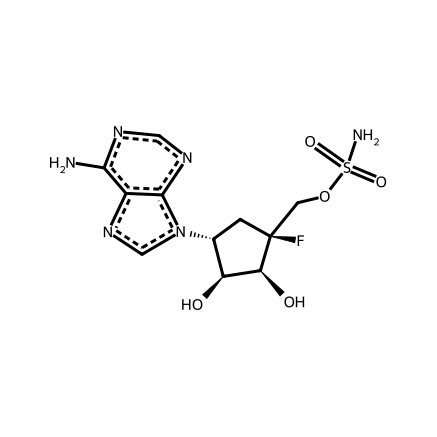 Nc1ncnc2c1ncn2[C@@H]1C[C@](F)(COS(N)(=O)=O)[C@@H](O)[C@H]1O